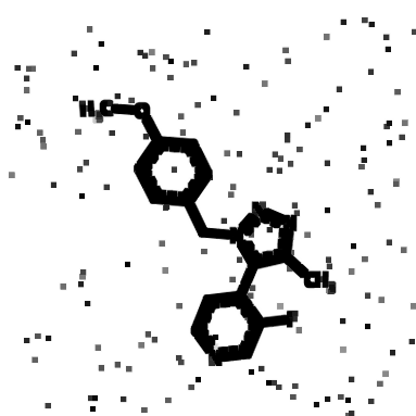 COc1ccc(Cn2nnc(C)c2-c2ccncc2F)cc1